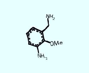 COc1c(N)cccc1CN